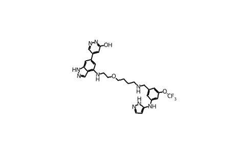 Oc1cc(-c2cc(NCCOCCCCNCc3cc(Nc4ccn[nH]4)cc(OC(F)(F)F)c3)c3cn[nH]c3c2)cnn1